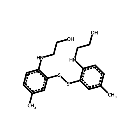 Cc1ccc(NCCO)c(SSc2cc(C)ccc2NCCO)c1